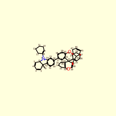 CC12C=CC=CC1N(C1=CCCCC1)c1cc(-c3ccc4c(c3)C3(C5=CCCCC5O4)C4=C(CCCC4)OC4C=CCC(C5CC=CCC5)C43)ccc12